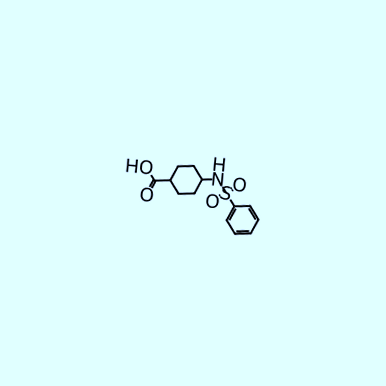 O=C(O)C1CCC(NS(=O)(=O)c2ccccc2)CC1